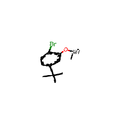 C[SiH](C)Oc1cc(C(C)(C)C)ccc1Br